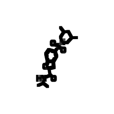 CC1CC(C)CN(S(=O)(=O)c2ccc3oc(C(=O)NC(C)C)cc3c2)C1